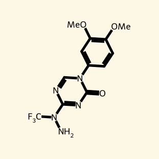 COc1ccc(-n2cnc(N(N)C(F)(F)F)nc2=O)cc1OC